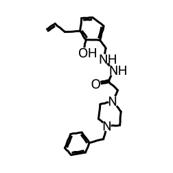 C=CCc1cccc(CNNC(=O)CN2CCN(Cc3ccccc3)CC2)c1O